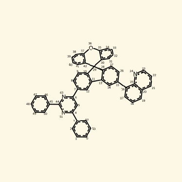 c1ccc(-c2cc(-c3ccc4c(c3)-c3cc(-c5cccc6cccnc56)ccc3C43c4ccccc4Oc4ccccc43)nc(-c3ccccc3)n2)cc1